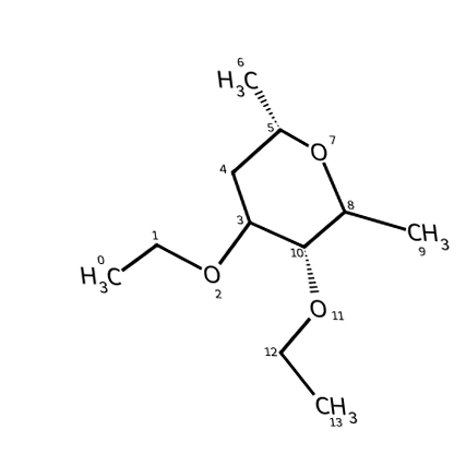 CCOC1C[C@H](C)OC(C)[C@@H]1OCC